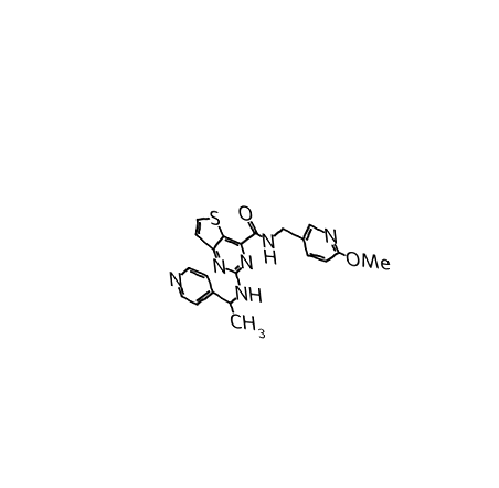 COc1ccc(CNC(=O)c2nc(NC(C)c3ccncc3)nc3ccsc23)cn1